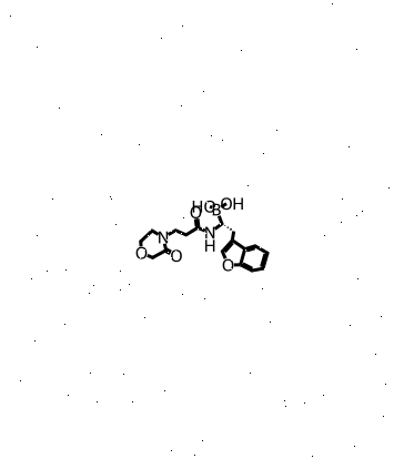 O=C(CCN1CCOCC1=O)N[C@@H](Cc1coc2ccccc12)B(O)O